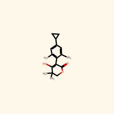 Cc1cc(C2CC2)cc(C)c1C1=C(O)C(C)(C)COC1=O